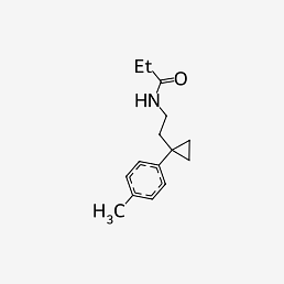 CCC(=O)NCCC1(c2ccc(C)cc2)CC1